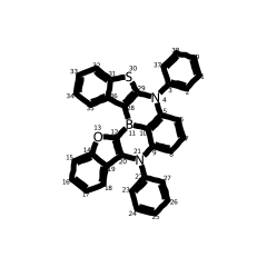 c1ccc(N2c3cccc4c3B(c3oc5ccccc5c3N4c3ccccc3)c3c2sc2ccccc32)cc1